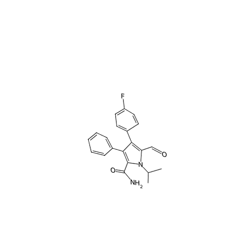 CC(C)n1c(C=O)c(-c2ccc(F)cc2)c(-c2ccccc2)c1C(N)=O